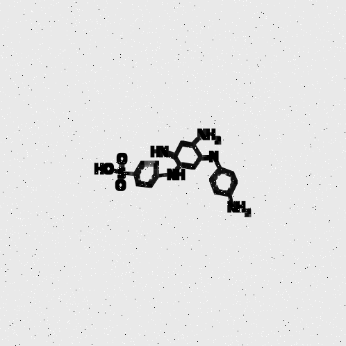 N=C1C=C(N)C(=Nc2ccc(N)cc2)C=C1Nc1ccc(S(=O)(=O)O)cc1